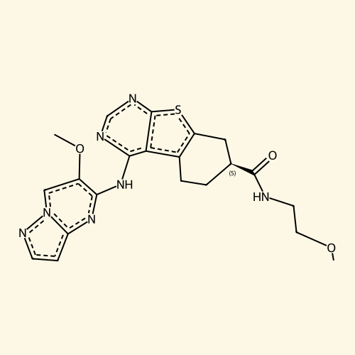 COCCNC(=O)[C@H]1CCc2c(sc3ncnc(Nc4nc5ccnn5cc4OC)c23)C1